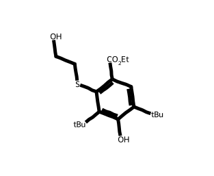 CCOC(=O)c1cc(C(C)(C)C)c(O)c(C(C)(C)C)c1SCCO